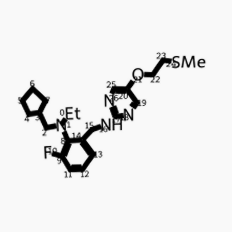 CCN(CC1CCCC1)c1c(F)cccc1CNc1ncc(OCCSC)cn1